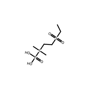 CCS(=O)(=O)CCS(C)(C)P(=O)(O)O